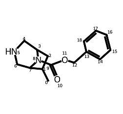 CC1CC2CNCC1N2C(=O)OCc1ccccc1